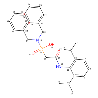 CC(C)c1cccc(C(C)C)c1NC(=O)CP(=O)(O)N(Cc1ccccc1)Cc1ccccc1